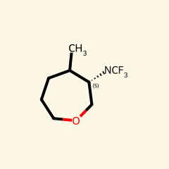 CC1CCCOC[C@H]1NC(F)(F)F